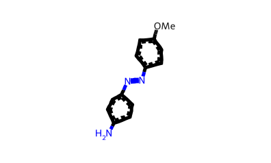 COc1ccc(/N=N/c2ccc(N)cc2)cc1